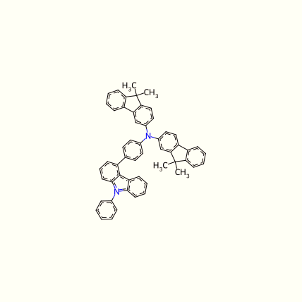 CC1(C)c2ccccc2-c2cc(N(c3ccc(-c4cccc5c4c4ccccc4n5-c4ccccc4)cc3)c3ccc4c(c3)C(C)(C)c3ccccc3-4)ccc21